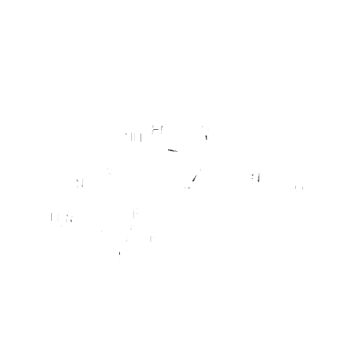 CC(C)N/C(=C\C(=N)c1cnc(N)c(OC(F)(F)F)c1)[C@H]1[C@@H]2CC(N3CCOCC3)C[C@@H]21